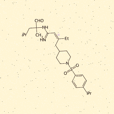 CC/C(=C/C(=N)NC(C)(C=O)CC(C)C)CC1CCN(S(=O)(=O)c2ccc(C(C)C)cc2)CC1